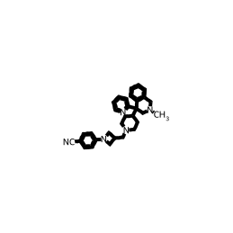 CN1Cc2ccccc2C(c2ccccn2)(C2CCN(CC3CN(c4ccc(C#N)cc4)C3)CC2)C1